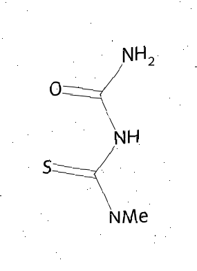 CNC(=S)NC(N)=O